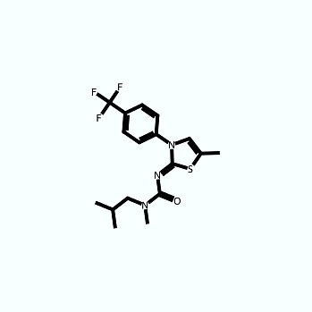 Cc1cn(-c2ccc(C(F)(F)F)cc2)/c(=N/C(=O)N(C)CC(C)C)s1